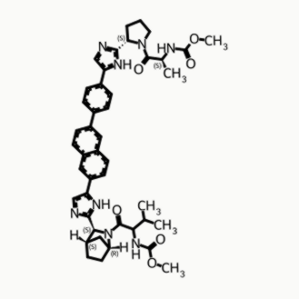 COC(=O)NC(C(=O)N1[C@@H]2CC[C@@H](C2)[C@H]1c1ncc(-c2ccc3cc(-c4ccc(-c5cnc([C@@H]6CCCN6C(=O)[C@H](C)NC(=O)OC)[nH]5)cc4)ccc3c2)[nH]1)C(C)C